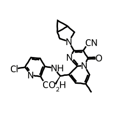 Cc1cc([C@@H](C)Nc2ccc(Cl)nc2C(=O)O)c2nc(N3CC4CC4C3)c(C#N)c(=O)n2c1